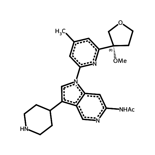 CO[C@@]1(c2cc(C)cc(-n3cc(C4CCNCC4)c4cnc(NC(C)=O)cc43)n2)CCOC1